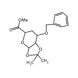 COC(=O)C1CC(OCc2ccccc2)C2OC(C)(C)OC2O1